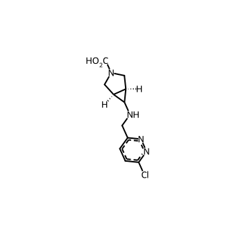 O=C(O)N1C[C@@H]2C(NCc3ccc(Cl)nn3)[C@@H]2C1